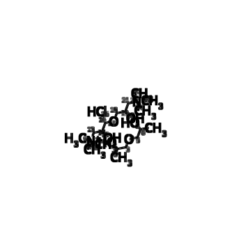 CC(O)COCC(C)O.C[N+](C)(C)CC(O)COCC(O)C[N+](C)(C)C.Cl